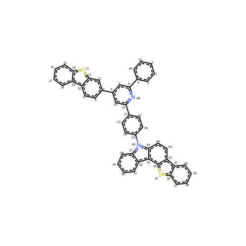 c1ccc(-c2cc(-c3ccc4c(c3)sc3ccccc34)cc(-c3ccc(-n4c5ccccc5c5c6sc7ccccc7c6ccc54)cc3)n2)cc1